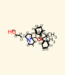 CC(C)(C)[Si](OC[C@@]12CCCN1[C@H](CCCO)CC2)(c1ccccc1)c1ccccc1